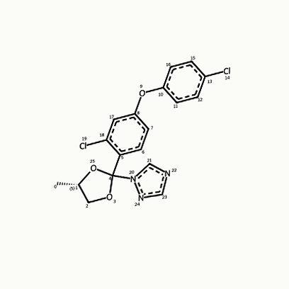 C[C@H]1COC(c2ccc(Oc3ccc(Cl)cc3)cc2Cl)(n2cncn2)O1